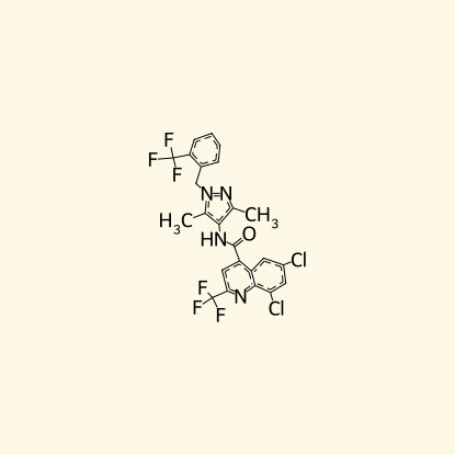 Cc1nn(Cc2ccccc2C(F)(F)F)c(C)c1NC(=O)c1cc(C(F)(F)F)nc2c(Cl)cc(Cl)cc12